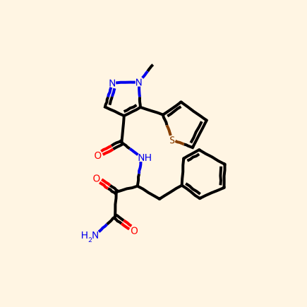 Cn1ncc(C(=O)NC(Cc2ccccc2)C(=O)C(N)=O)c1-c1cccs1